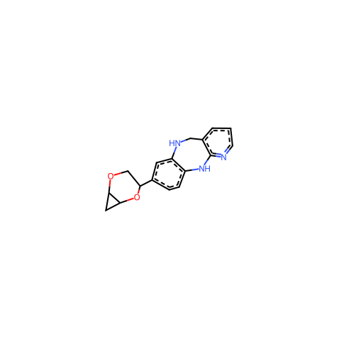 c1cnc2c(c1)CNc1cc(C3COC4CC4O3)ccc1N2